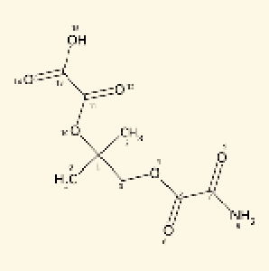 CC(C)(COC(=O)C(N)=O)OC(=O)C(=O)O